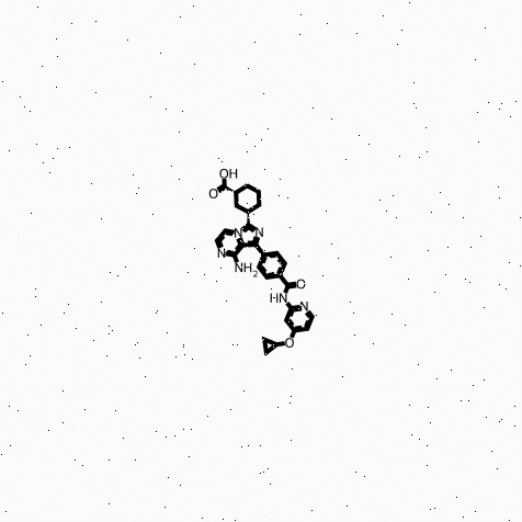 Nc1nccn2c([C@@H]3CCC[C@H](C(=O)O)C3)nc(-c3ccc(C(=O)Nc4cc(OC5CC5)ccn4)cc3)c12